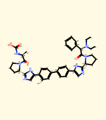 CCN(CC)[C@@H](C(=O)N1CCC[C@H]1c1ncc(-c2ccc(-c3ccc(-c4cnc([C@@H]5CCCN5C(=O)[C@H](C)NC(=O)O)[nH]4)c(F)c3)cc2)[nH]1)c1ccccc1